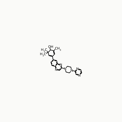 CC1=CC(c2ccc3ncc(N4CCN(c5cnccn5)CC4)nc3c2)=CC(C)(C)C1O